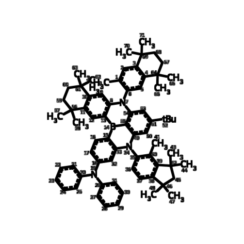 Cc1cc2c(cc1N1c3cc4c(cc3B3c5ccc(N(c6ccccc6)c6ccccc6)cc5N(c5ccc6c(c5C)C(C)(C)CC6(C)C)c5cc(C(C)(C)C)cc1c53)C(C)(C)CCC4(C)C)C(C)(C)CCC2(C)C